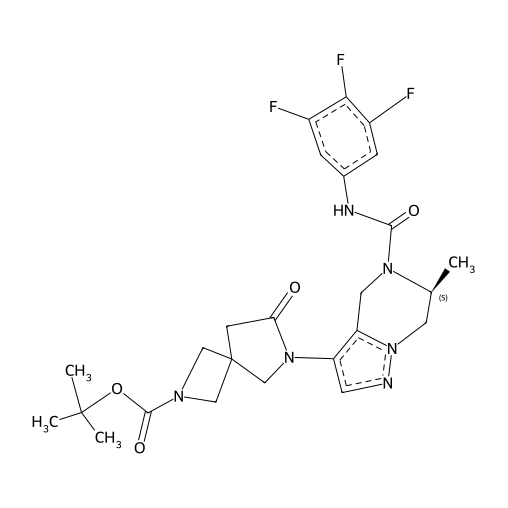 C[C@H]1Cn2ncc(N3CC4(CC3=O)CN(C(=O)OC(C)(C)C)C4)c2CN1C(=O)Nc1cc(F)c(F)c(F)c1